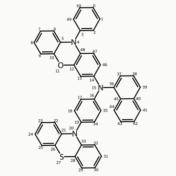 c1ccc(N2c3ccccc3Oc3cc(N(c4ccc(N5c6ccccc6Sc6ccccc65)cc4)c4cccc5ccccc45)ccc32)cc1